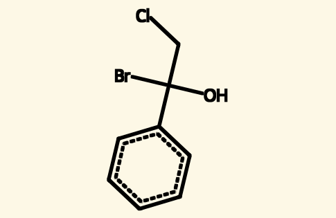 OC(Br)(CCl)c1ccccc1